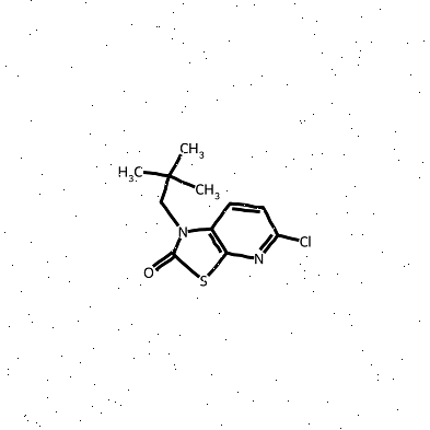 CC(C)(C)Cn1c(=O)sc2nc(Cl)ccc21